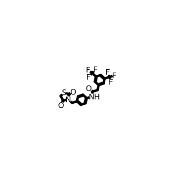 O=C(Cc1cc(C(F)(F)F)cc(C(F)(F)F)c1)Nc1ccc(CN2C(=O)CSC2=O)cc1